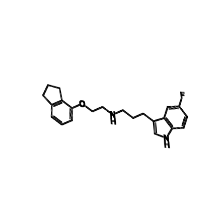 Fc1ccc2[nH]cc(CCCNCCOc3cccc4c3CCC4)c2c1